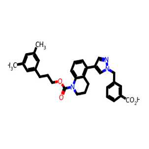 Cc1cc(C)cc(CCCOC(=O)N2CCCc3c(-c4cnn(Cc5cccc(C(=O)O)c5)c4)cccc32)c1